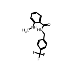 CNc1ccccc1C(=O)NCc1ccc(C(F)(F)F)cc1